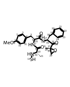 COc1ccc(C[C@H](NC(=O)[C@H](C)NS)C(=O)N[C@@H](Cc2ccccc2)C(=O)[C@@]2(C)CO2)cc1